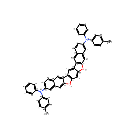 CC(C)c1ccc(N(c2ccccc2)c2ccc3cc4c(cc3c2)oc2cc3oc5cc6cc(N(c7ccccc7)c7ccc(C(C)C)cc7)ccc6cc5c3cc24)cc1